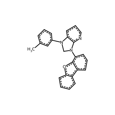 Cc1cccc(N2CN(c3cccc4c3oc3ccccc34)c3ncccc32)c1